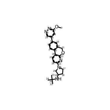 COc1cc(-c2ccc3c(c2)COc2nc(N4CCC(NC(C)(C)C)C4)ccc2-3)cnn1